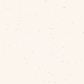 CC(C)(C)C(CCNC(=O)O)Nc1ncc([N+](=O)[O-])c(NCc2c(Cl)cccc2Cl)n1